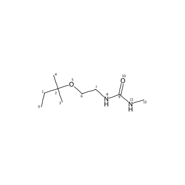 CCC(C)(C)OCCNC(=O)NC